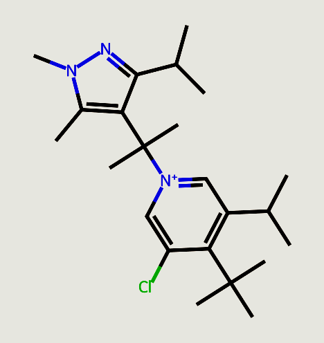 Cc1c(C(C)(C)[n+]2cc(Cl)c(C(C)(C)C)c(C(C)C)c2)c(C(C)C)nn1C